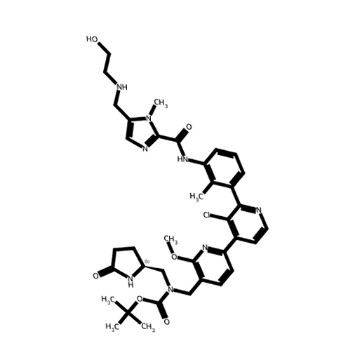 COc1nc(-c2ccnc(-c3cccc(NC(=O)c4ncc(CNCCO)n4C)c3C)c2Cl)ccc1CN(C[C@@H]1CCC(=O)N1)C(=O)OC(C)(C)C